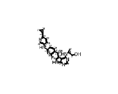 CC(CO)Nc1ncnc2[nH]cc(C(=O)c3ccc(Nc4ccc(C5CC5)nc4)nc3F)c12